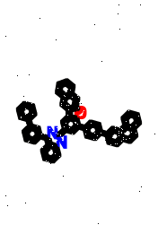 c1ccc(-c2cccc(-c3nc(-c4cc(-c5ccc(-c6ccc7ccc8ccccc8c7c6)cc5)c5oc6cc7ccccc7cc6c5c4)nc4ccccc34)c2)cc1